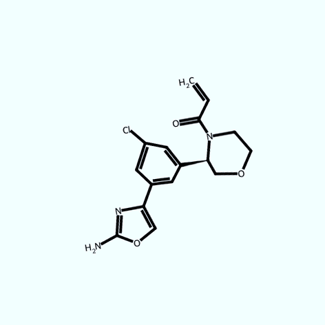 C=CC(=O)N1CCOC[C@H]1c1cc(Cl)cc(-c2coc(N)n2)c1